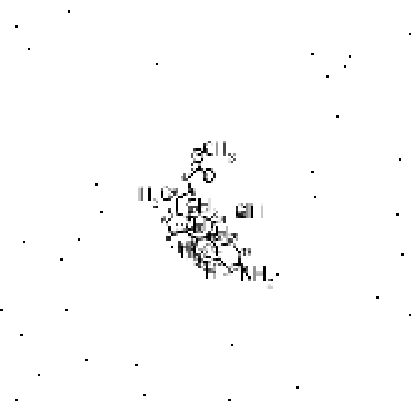 COC(=O)CC[C@@H](C)[C@H]1CC[C@H]2[C@@H]3CC[C@@H]4C[C@@H](N)CC[C@]4(C)[C@H]3CC[C@]12C.Cl